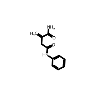 C=C(CC(=O)Nc1ccccc1)C(N)=O